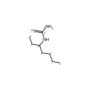 CCCCC(CC)NC(N)=S